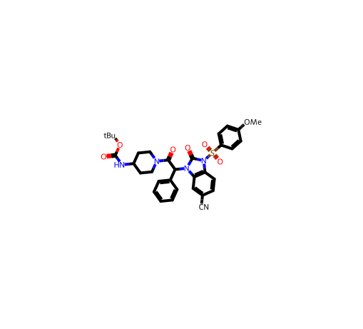 COc1ccc(S(=O)(=O)n2c(=O)n(C(C(=O)N3CCC(NC(=O)OC(C)(C)C)CC3)c3ccccc3)c3cc(C#N)ccc32)cc1